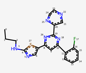 CCCNc1ncc(-c2cc(-c3ccccc3F)nc(-c3cnccn3)n2)s1